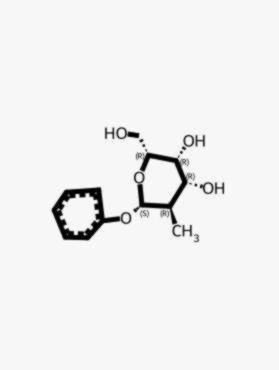 C[C@H]1[C@H](Oc2ccccc2)O[C@H](CO)[C@H](O)[C@@H]1O